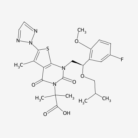 COc1ccc(F)cc1[C@H](Cn1c(=O)n(C(C)(C)C(=O)O)c(=O)c2c(C)c(-n3nccn3)sc21)OCC(C)C